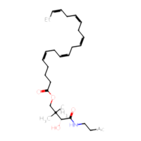 CC/C=C\C/C=C\C/C=C\C/C=C\C/C=C\CCCC(=O)OCC(C)(C)[C@@H](O)C(=O)NCCC(C)=O